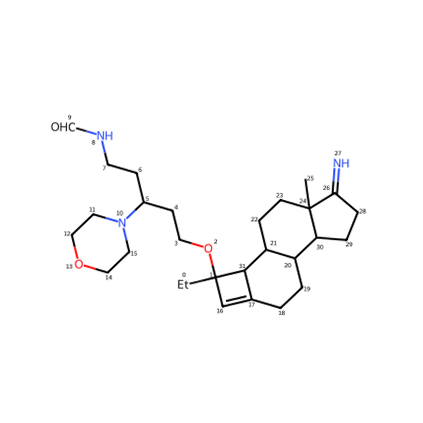 CCC1(OCCC(CCNC=O)N2CCOCC2)C=C2CCC3C(CCC4(C)C(=N)CCC34)C21